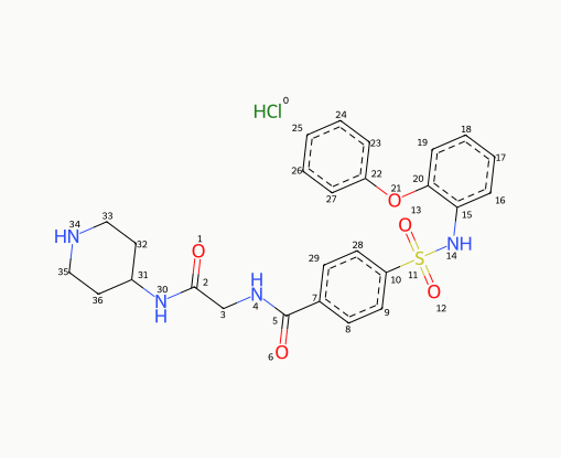 Cl.O=C(CNC(=O)c1ccc(S(=O)(=O)Nc2ccccc2Oc2ccccc2)cc1)NC1CCNCC1